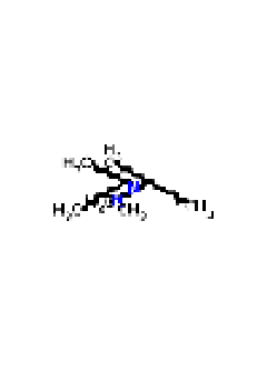 CCCCCCCCC(CCCCCC)CN(CCN(C)C)CC(CCCCCC)CCCCCCCC